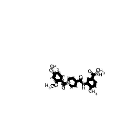 CNC(=O)c1ccc(C)c(NC(=O)C2CCN(C(=O)c3ccc(OC)cc3OC)CC2)c1